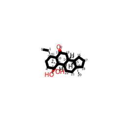 CC[C@H]1CCC(O)(O)[C@@]2(C)C1C(=O)C[C@H]1[C@@H]3CCC[C@@]3(C)CC[C@@H]12